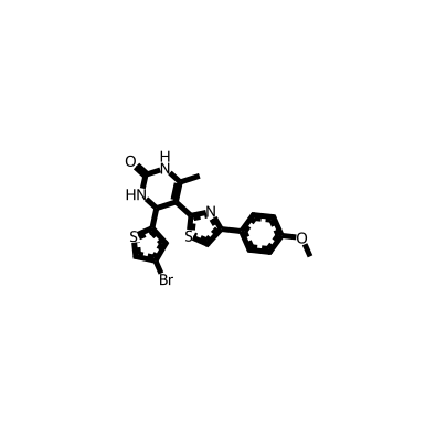 COc1ccc(-c2csc(C3=C(C)NC(=O)NC3c3cc(Br)cs3)n2)cc1